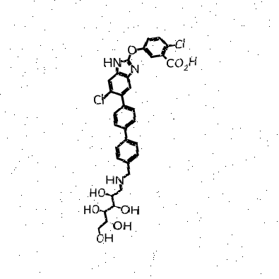 O=C(O)c1cc(Oc2nc3cc(-c4ccc(-c5ccc(CNC[C@H](O)[C@@H](O)[C@H](O)[C@H](O)CO)cc5)cc4)c(Cl)cc3[nH]2)ccc1Cl